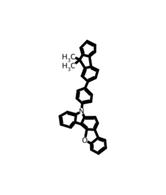 CC1(C)c2ccccc2-c2ccc(-c3ccc(-n4c5ccccc5c5c6oc7ccccc7c6ccc54)cc3)cc21